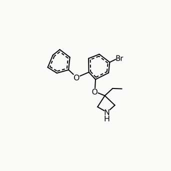 CCC1(Oc2cc(Br)ccc2Oc2ccccc2)CNC1